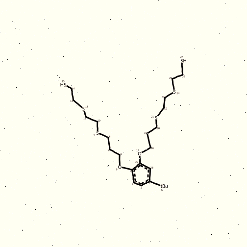 CC(C)(C)c1ccc(OCCCSCCSCCS)c(OCCCSCCSCCS)c1